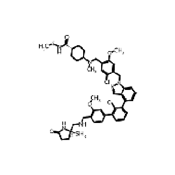 COc1cc(-c2cccc(-c3cccc4c3cnn4Cc3cc(OC)c(CN(C)[C@H]4CC[C@H](C(=O)NSC)CC4)cc3Cl)c2Cl)ccc1CNC[C@]1([SiH3])CCC(=O)N1